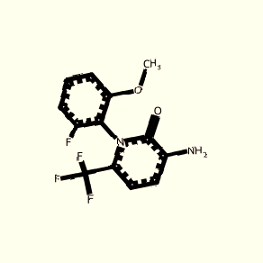 COc1cccc(F)c1-n1c(C(F)(F)F)ccc(N)c1=O